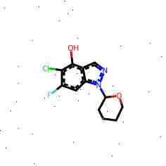 Oc1c(Cl)c(F)cc2c1cnn2C1CCCCO1